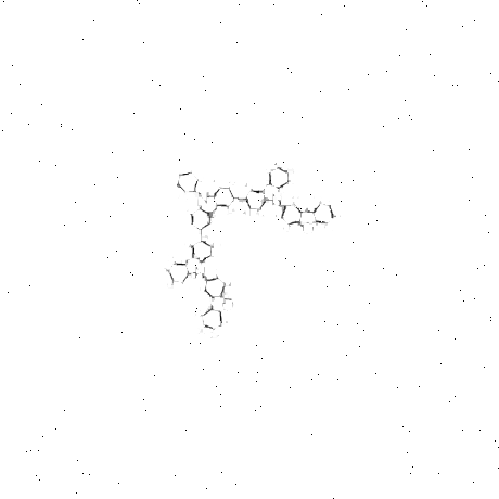 c1ccc(-n2c3ccc(-c4ccc5c(c4)c4ccccc4n5-c4ccc5oc6ccccc6c5c4)cc3c3cc(-c4ccc5c(c4)c4ccccc4n5-c4ccc5oc6ccccc6c5c4)ccc32)cc1